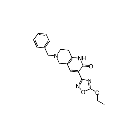 CCOc1nc(-c2cc3c([nH]c2=O)CCN(Cc2ccccc2)C3)no1